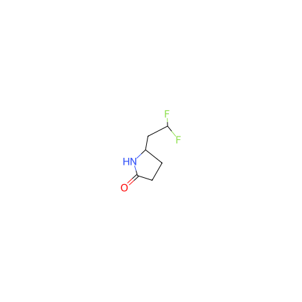 O=C1CCC(CC(F)F)N1